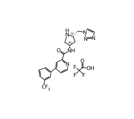 O=C(N[C@H]1CN[C@H](Cn2ccnn2)C1)c1cc(-c2cccc(C(F)(F)F)c2)ccn1.O=C(O)C(F)(F)F